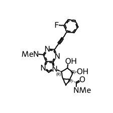 CNC(=O)[C@]12CC1[C@@H](n1cnc3c(NC)nc(C#Cc4ccccc4F)nc31)C(O)[C@@H]2O